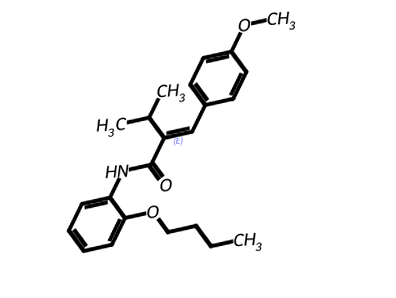 CCCCOc1ccccc1NC(=O)/C(=C/c1ccc(OC)cc1)C(C)C